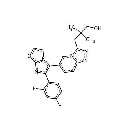 CC(C)(CO)Cc1nnc2ccc(-c3c(-c4ccc(F)cc4F)nc4occn34)cn12